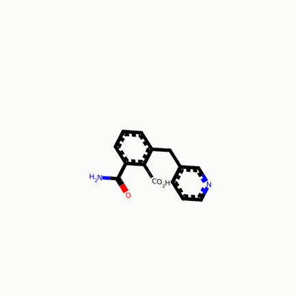 NC(=O)c1cccc(Cc2cccnc2)c1C(=O)O